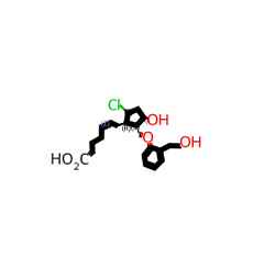 O=C(O)CCC/C=C\C[C@@H]1[C@@H](COc2ccccc2CCO)[C@H](O)C[C@@H]1Cl